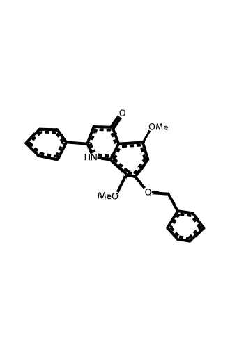 COc1c(OCc2ccccc2)cc(OC)c2c(=O)cc(-c3ccccc3)[nH]c12